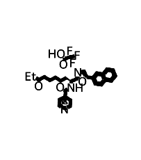 CCC(=O)CCCCC[C@H](NC(=O)C12CCN(CC1)CC2)c1ncc(-c2ccc3ccccc3c2)o1.O=C(O)C(F)(F)F